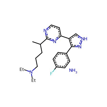 CCN(CC)CCCC(C)c1nccc(-c2c[nH]nc2-c2ccc(F)cc2)n1.N